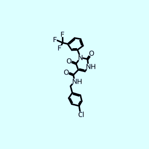 O=C(NCc1ccc(Cl)cc1)c1c[nH]c(=O)n(-c2cccc(C(F)(F)F)c2)c1=O